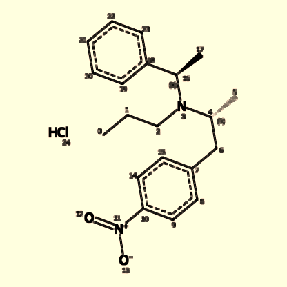 CCCN([C@H](C)Cc1ccc([N+](=O)[O-])cc1)[C@H](C)c1ccccc1.Cl